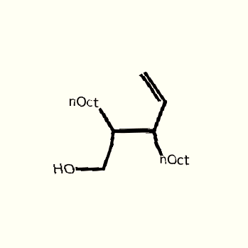 C=CC(CCCCCCCC)C(CO)CCCCCCCC